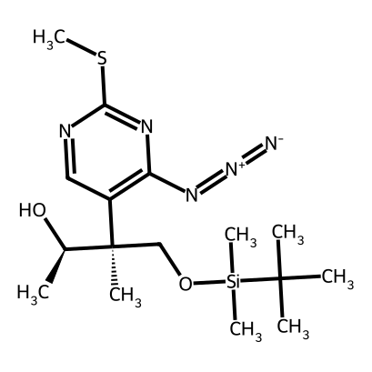 CSc1ncc([C@@](C)(CO[Si](C)(C)C(C)(C)C)[C@@H](C)O)c(N=[N+]=[N-])n1